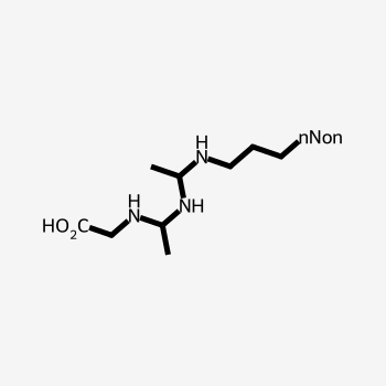 CCCCCCCCCCCCNC(C)NC(C)NCC(=O)O